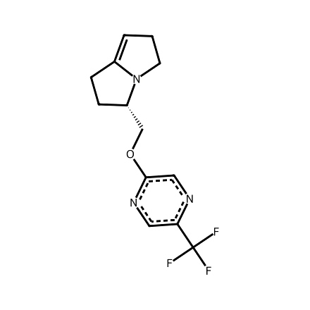 FC(F)(F)c1cnc(OC[C@@H]2CCC3=CCCN32)cn1